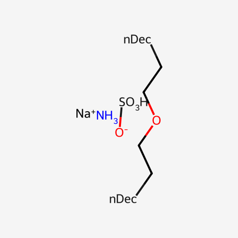 CCCCCCCCCCCCOCCCCCCCCCCCC.N.O=S(=O)([O-])O.[Na+]